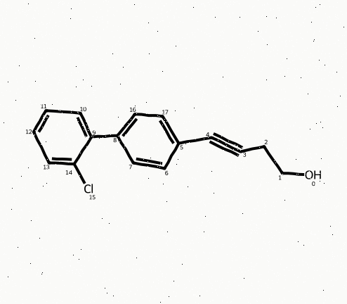 OCCC#Cc1ccc(-c2ccccc2Cl)cc1